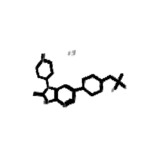 Cl.O=c1[nH]c2ncc(C3CCN(CC(F)(F)F)CC3)cc2n1C1CCNCC1